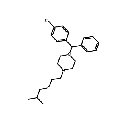 CC(C)COCCN1CCN(C(c2ccccc2)c2ccc(Cl)cc2)CC1